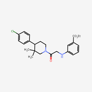 CCOC(=O)c1cccc(NCC(=O)N2CCC(c3ccc(Cl)cc3)C(C)(C)C2)c1